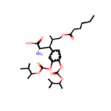 CCCCCC(=O)OCC(C)C(c1ccc(OC(=O)OC(C)C(C)C)c(OC(=O)OC(C)C(C)C)c1)[C@H](N)C(=O)O